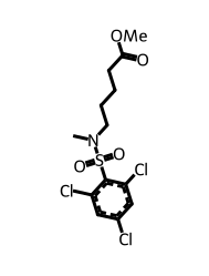 COC(=O)CCCCN(C)S(=O)(=O)c1c(Cl)cc(Cl)cc1Cl